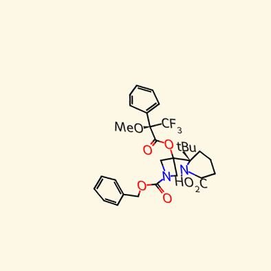 CO[C@@](C(=O)OC1([C@]2(C(C)(C)C)CCCCN2C(=O)O)CN(C(=O)OCc2ccccc2)C1)(c1ccccc1)C(F)(F)F